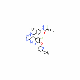 C=C(F)C(=O)Nc1ccc(-c2nn3ncnc(N)c3c2-c2ccc(Oc3cccc(C)n3)c(F)c2)c(C)c1